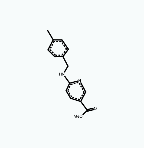 COC(=O)c1ccc(NCc2ccc(C)cc2)nc1